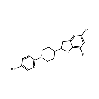 CCCc1cnc(N2CCC(C3Cc4cc(Br)cc(F)c4O3)CC2)nc1